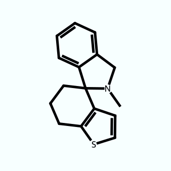 CN1Cc2ccccc2C12CCCc1sccc12